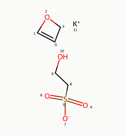 C1=COC1.O=S(=O)([O-])CCO.[K+]